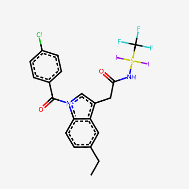 CCc1ccc2c(c1)c(CC(=O)NS(I)(I)C(F)(F)F)cn2C(=O)c1ccc(Cl)cc1